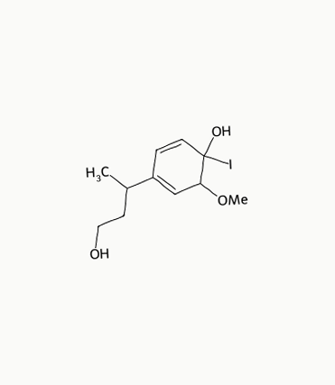 COC1C=C(C(C)CCO)C=CC1(O)I